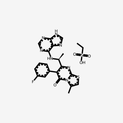 CCS(=O)(=O)O.Cc1csc2nc([C@H](C)Nc3ncnc4[nH]cnc34)c(-c3cccc(F)c3)c(=O)n12